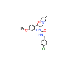 CC1CCN(C[C@@H](NC(=O)NCc2ccc(Cl)cc2)[C@H](O)c2ccc(OC(C)C)cc2)C1